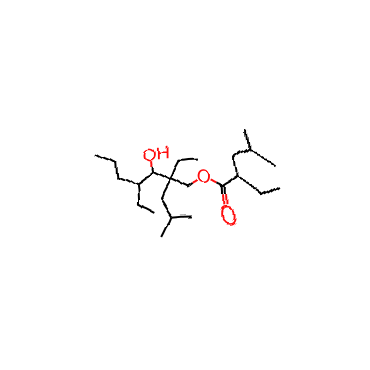 CCCC(CC)C(O)C(CC)(COC(=O)C(CC)CC(C)C)CC(C)C